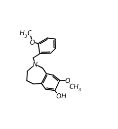 COc1cc2c(cc1O)CCCN(Cc1ccccc1OC)C2